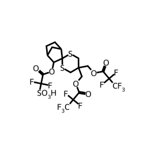 O=C(OCC1(COC(=O)C(F)(F)C(F)(F)F)CSC2(SC1)C1CCC(C1)C2OC(=O)C(F)(F)S(=O)(=O)O)C(F)(F)C(F)(F)F